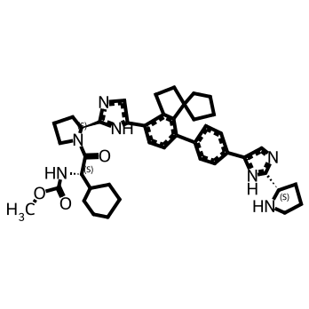 COC(=O)N[C@H](C(=O)N1CCC[C@H]1c1ncc(-c2ccc(-c3ccc(-c4cnc([C@@H]5CCCN5)[nH]4)cc3)c3c2CCC32CCCC2)[nH]1)C1CCCCC1